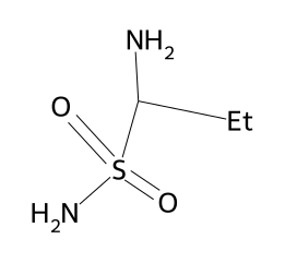 CCC(N)S(N)(=O)=O